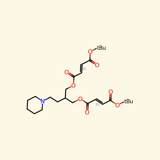 CC(C)(C)OC(=O)/C=C/C(=O)OCC(CCN1CCCCC1)COC(=O)/C=C/C(=O)OC(C)(C)C